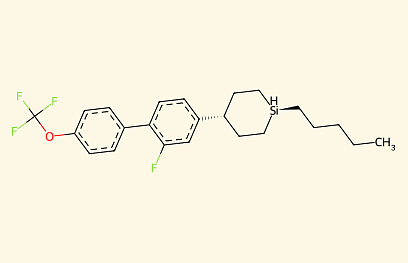 CCCCC[Si@H]1CC[C@H](c2ccc(-c3ccc(OC(F)(F)F)cc3)c(F)c2)CC1